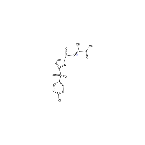 O=C(O)/C(O)=C/C(=O)c1cnn(S(=O)(=O)c2ccc(Cl)cc2)n1